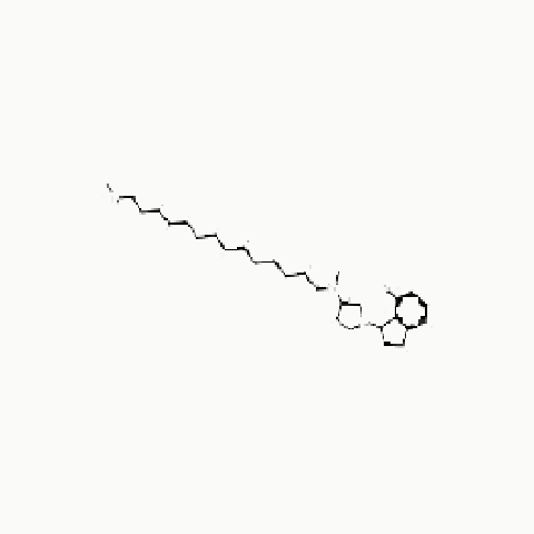 CNCCCCCCCCCCCCCCN(C)C1CCN(C2CCc3cccc(F)c32)C1